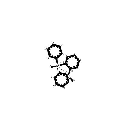 CSc1ccccc1[PH](C)(c1ccccc1)c1ccccc1